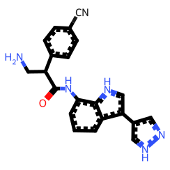 N#Cc1ccc(C(CN)C(=O)Nc2cccc3c(-c4cn[nH]c4)c[nH]c23)cc1